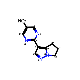 N#Cc1cnc(-c2cnn3c2CCC3)nc1